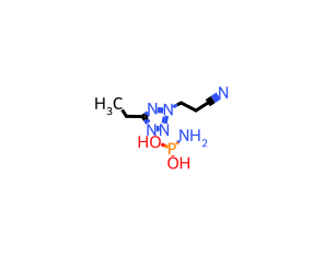 CCc1nnn(CCC#N)n1.NP(O)O